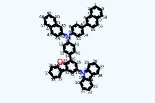 c1ccc2cc(-c3ccc(N(c4ccc(-c5cc(-n6c7ccccc7c7ccccc76)cc6c5oc5ccccc56)cc4)c4ccc5ccccc5c4)cc3)ccc2c1